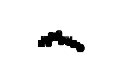 CC(NC(=O)CNC(=O)CBr)C(=O)NCC(=O)NCOCc1ccc(Cc2ccccc2)cc1